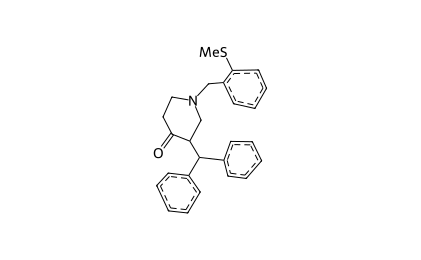 CSc1ccccc1CN1CCC(=O)C(C(c2ccccc2)c2ccccc2)C1